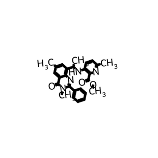 COC(=O)c1nc(C)ccc1NC(C)c1cc(C)cc2c(=O)n(C)c(-c3ccccc3)nc12